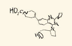 O=C(O)N1CC=C(c2ccc3c(N4CCCC4CO)nc(Cl)nc3c2)CC1